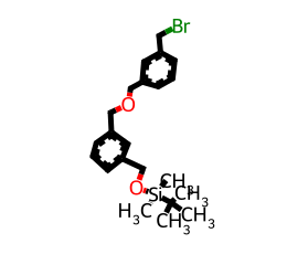 CC(C)(C)[Si](C)(C)OCc1cccc(COCc2cccc(CBr)c2)c1